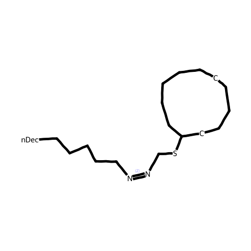 CCCCCCCCCCCCCCC/N=N\CSC1CCCCCCCCCC1